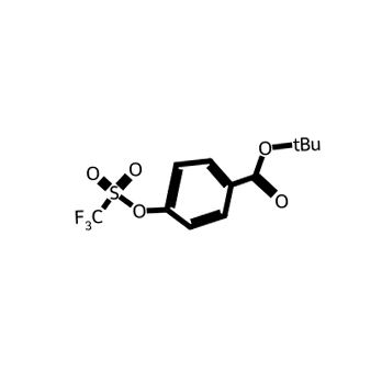 CC(C)(C)OC(=O)c1ccc(OS(=O)(=O)C(F)(F)F)cc1